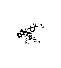 C=CC(=O)N1CCN2C(=O)c3c(N4C[C@@H](OC)C[C@@H]4C)nc(-c4c(O)cccc4F)c(Cl)c3OC[C@H]2C1